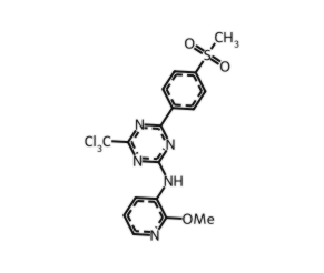 COc1ncccc1Nc1nc(-c2ccc(S(C)(=O)=O)cc2)nc(C(Cl)(Cl)Cl)n1